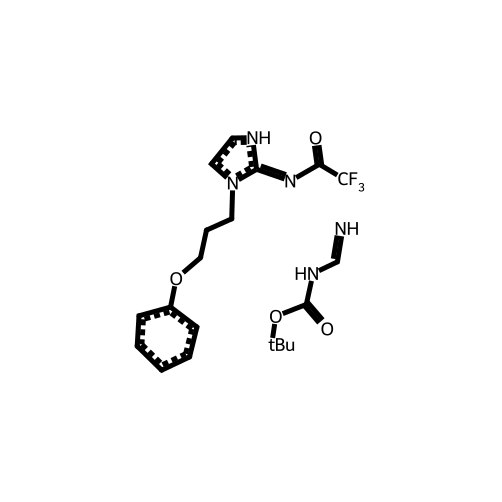 CC(C)(C)OC(=O)NC=N.O=C(N=c1[nH]ccn1CCCOc1ccccc1)C(F)(F)F